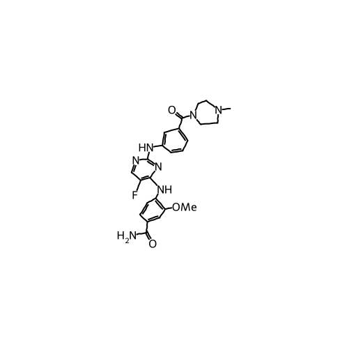 COc1cc(C(N)=O)ccc1Nc1nc(Nc2cccc(C(=O)N3CCN(C)CC3)c2)ncc1F